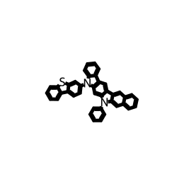 c1ccc(-n2c3cc4ccccc4cc3c3cc4c5ccccc5n(-c5ccc6c(c5)sc5ccccc56)c4cc32)cc1